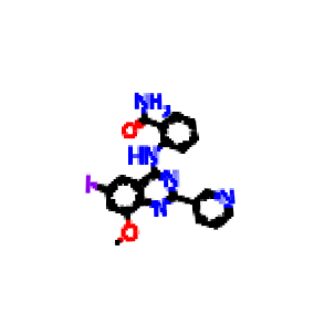 COc1cc(I)cc2c(Nc3ccccc3C(N)=O)nc(-c3cccnc3)nc12